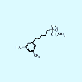 CC(C)(CCCCCc1cc(C(F)(F)F)cc(C(F)(F)F)c1)O[SiH3]